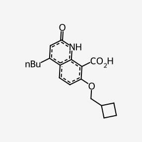 CCCCc1cc(=O)[nH]c2c(C(=O)O)c(OCC3CCC3)ccc12